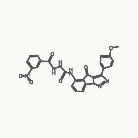 COc1ccc(C2=C3C(=O)c4c(NC(=O)NNC(=O)c5cccc([N+](=O)[O-])c5)cccc4C3N=N2)cc1